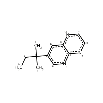 CCC(C)(C)c1cnc2nccnc2c1